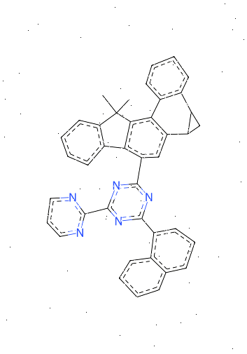 CC1(C)c2ccccc2-c2c(-c3nc(-c4ncccn4)nc(-c4cccc5ccccc45)n3)cc3c(c21)-c1ccccc1C1CC31